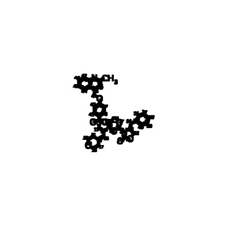 Cc1cc(COc2ccc(S(=O)(=O)CC(C=C3CCOCC3)N(C=O)OC(=O)N3C(=O)OCC3Cc3ccccc3)cc2)c2ccccc2n1